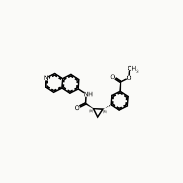 COC(=O)c1cccc([C@@H]2C[C@H]2C(=O)Nc2ccc3cnccc3c2)c1